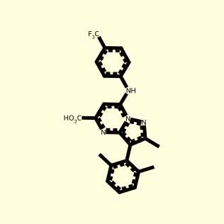 Cc1cccc(C)c1-c1c(C)nn2c(Nc3ccc(C(F)(F)F)cc3)cc(C(=O)O)nc12